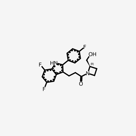 O=C(CCc1c(-c2ccc(F)cc2)[nH]c2c(F)cc(F)cc12)N1CC[C@@H]1CO